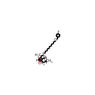 C[C@H]1[C@H](SCCCCCCCCCCCOCc2ccc(F)cc2)O[C@@H]2O[C@](C)(I)CC[C@H]3[C@H](C)CC[C@@H]1[C@@]23OO